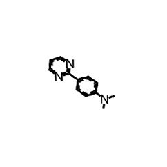 CN(C)c1ccc(-c2ncccn2)cc1